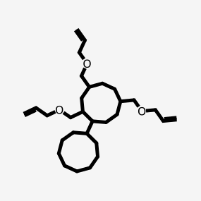 C=CCOCC1CCC(COCC=C)CC(COCC=C)C(C2CCCCCCCC2)CC1